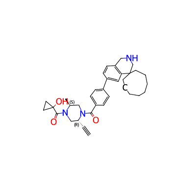 C#C[C@@H]1CN(C(=O)C2(O)CC2)[C@@H](C)CN1C(=O)c1ccc(-c2ccc3c(c2)C2(CCCCCCCC2)CNC3)cc1